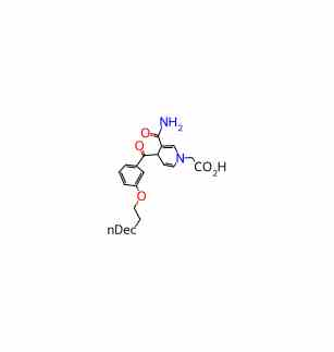 CCCCCCCCCCCCOc1cccc(C(=O)C2C=CN(CC(=O)O)C=C2C(N)=O)c1